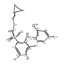 O=S(=O)(NOCC1CC1)c1cc(F)c(F)c(F)c1Nc1ccc(I)cc1Cl